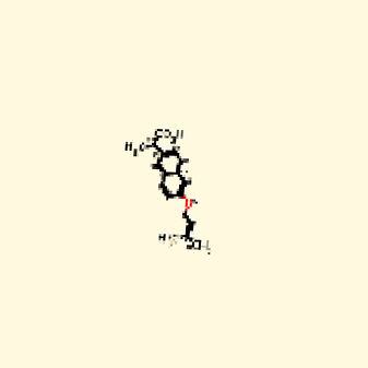 CC(C)=CCOc1ccc2cc(C(C)C(=O)O)ccc2c1